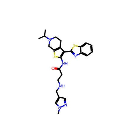 CC(C)N1CCc2c(sc(NC(=O)CCNCc3cnn(C)c3)c2-c2nc3ccccc3s2)C1